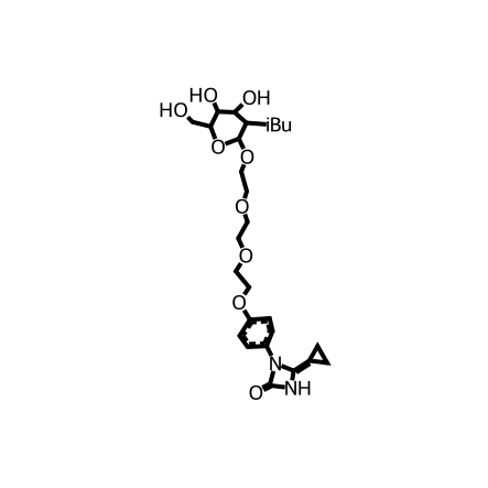 CCC(C)C1C(OCCOCCOCCOc2ccc(N3C(=O)NC3=C3CC3)cc2)OC(CO)C(O)C1O